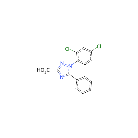 O=C(O)c1nc(-c2ccccc2)n(-c2ccc(Cl)cc2Cl)n1